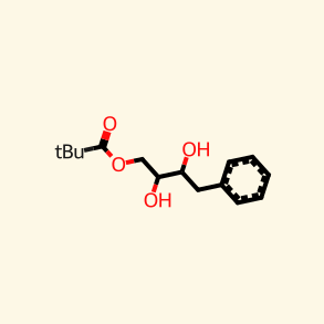 CC(C)(C)C(=O)OCC(O)C(O)Cc1ccccc1